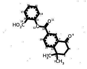 CC1(C)CCC(=O)c2cc(C(=O)Oc3ccccc3C(=O)O)ccc21